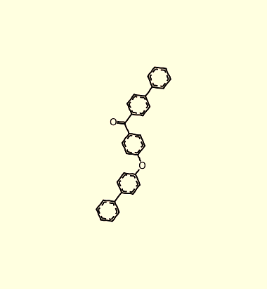 O=C(c1ccc(Oc2ccc(-c3ccccc3)cc2)cc1)c1ccc(-c2ccccc2)cc1